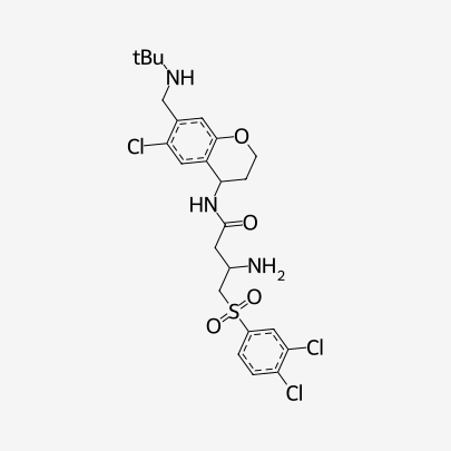 CC(C)(C)NCc1cc2c(cc1Cl)C(NC(=O)CC(N)CS(=O)(=O)c1ccc(Cl)c(Cl)c1)CCO2